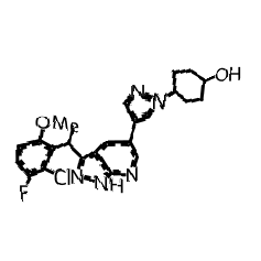 COc1ccc(F)c(Cl)c1C(C)c1n[nH]c2ncc(-c3cnn(C4CCC(O)CC4)c3)cc12